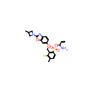 C=CC(N)OS(=O)(=O)c1ccc(C)c(F)c1COc1ccc2nc(N3CC(C)C3)oc2c1